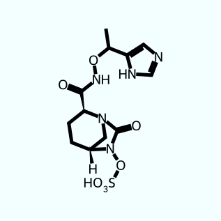 CC(ONC(=O)[C@@H]1CC[C@@H]2CN1C(=O)N2OS(=O)(=O)O)c1cnc[nH]1